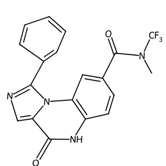 CN(C(=O)c1ccc2[nH]c(=O)c3cnc(-c4ccccc4)n3c2c1)C(F)(F)F